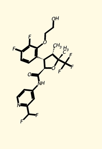 C[C@H]1[C@@H](c2ccc(F)c(F)c2OCCO)[C@H](C(=O)Nc2ccnc(C(F)F)c2)O[C@@]1(C)C(F)(F)F